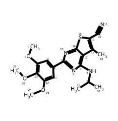 COc1cc(-c2nc(NC(C)C)c3c(C)c(C#N)sc3n2)cc(OC)c1OC